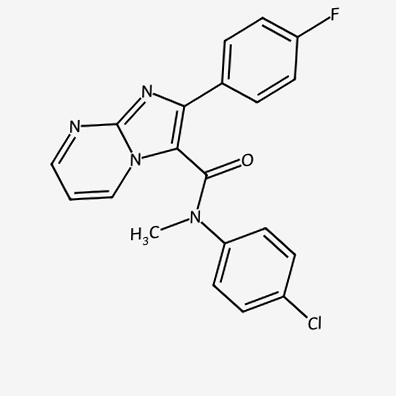 CN(C(=O)c1c(-c2ccc(F)cc2)nc2ncccn12)c1ccc(Cl)cc1